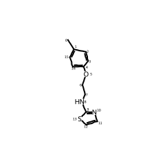 Cc1ccc(OCCNc2nccs2)cc1